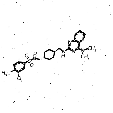 Cc1ccc(S(=O)(=O)NC[C@H]2CC[C@H](CNc3nc(N(C)C)c4ccccc4n3)CC2)cc1Cl